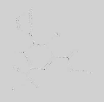 COC(=O)c1cc(S(C)(=O)=O)c(Cl)c(-n2cccc2)c1C